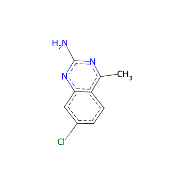 Cc1nc(N)nc2cc(Cl)ccc12